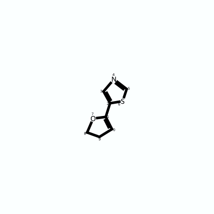 C1=C(c2cncs2)OCC1